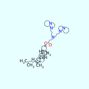 CC(C)CCC[C@@H](C)[C@H]1CC[C@H]2[C@@H]3CC=C4C[C@@H](OC(=O)CCN(CCCN5CCCN6CCCCCC65)CCCN5CCCN6CCCCCC65)CC[C@]4(C)[C@H]3CC[C@]12C